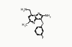 Cc1cc(CN)n2nc(N)c(Sc3cccc(F)c3)c2n1